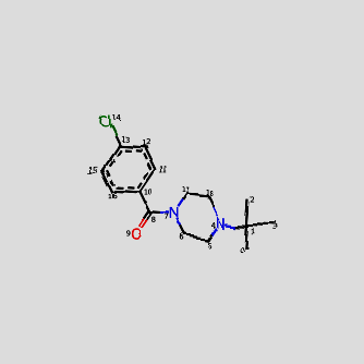 CC(C)(C)N1CCN(C(=O)c2ccc(Cl)cc2)CC1